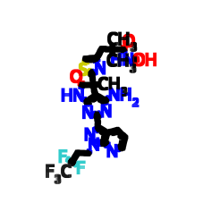 CC(C)(Cc1csc(C2(C)C(=O)Nc3nc(-c4nn(CCC(F)(F)C(F)(F)F)c5ncccc45)nc(N)c32)n1)C(=O)NO